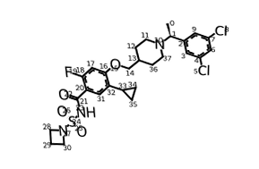 C[C@@H](c1cc(Cl)cc(Cl)c1)N1CCC(COc2cc(F)c(C(=O)NS(=O)(=O)N3CCC3)cc2C2CC2)CC1